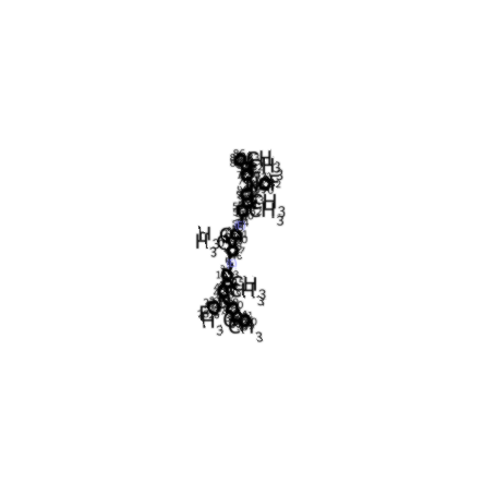 CC1(C)c2cc(/C=C/c3ccc4c(c3)C(C)(C)c3cc(N(c5ccc(F)cc5)c5ccc6c(c5)C(C)(C)c5ccccc5-6)ccc3-4)ccc2-c2ccc(/C=C/c3ccc4c(c3)C(C)(C)c3cc(N(c5ccc(F)cc5)c5ccc6c(c5)C(C)(C)c5ccccc5-6)ccc3-4)cc21